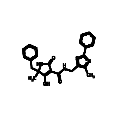 Cc1nc(-c2ccccc2)sc1CNC(=O)C1=C(O)C(C)(Cc2ccccc2)NC1=O